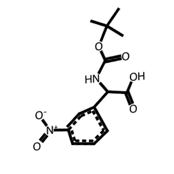 CC(C)(C)OC(=O)NC(C(=O)O)c1cccc([N+](=O)[O-])c1